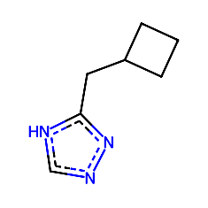 c1nnc(CC2CCC2)[nH]1